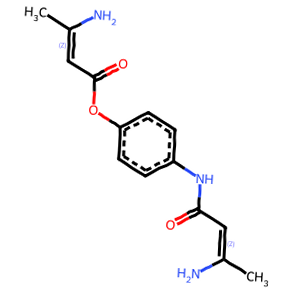 C/C(N)=C/C(=O)Nc1ccc(OC(=O)/C=C(/C)N)cc1